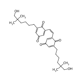 CC(C)(CO)CCCCC1=CC(=O)C=C(/C=C\C2=CC(=O)C=C(CCCCC(C)(C)CO)C2=O)C1=O